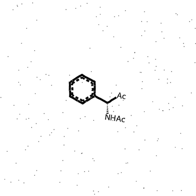 CC(=O)N[C@@H](C(C)=O)c1ccccc1